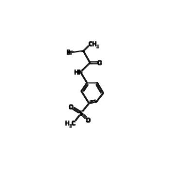 CC(Br)C(=O)Nc1cccc(S(C)(=O)=O)c1